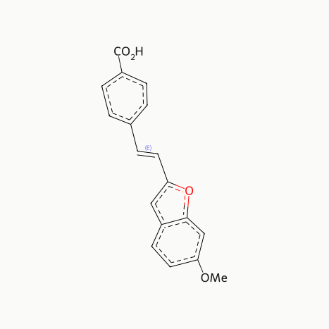 COc1ccc2cc(/C=C/c3ccc(C(=O)O)cc3)oc2c1